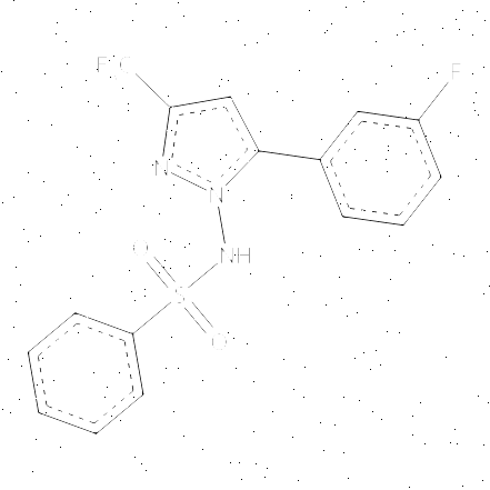 O=S(=O)(Nn1nc(C(F)(F)F)cc1-c1cccc(F)c1)c1ccccc1